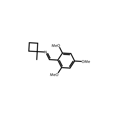 COc1cc(OC)c(C=NC2(C)CCC2)c(OC)c1